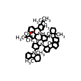 CC(C)(C)c1ccc2c(c1)B1c3ccc(N4c5ccccc5C5(C)CCCCC45C)cc3N(c3cccc4c3oc3ccccc34)c3cc(N4c5ccccc5C5(C)CCCCC45C)cc(c31)N2c1ccc(C(C)(C)C)cc1-c1ccccc1